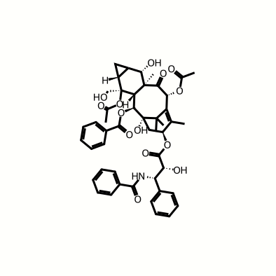 CC(=O)O[C@H]1C(=O)[C@@]2(C)[C@H]([C@H](OC(=O)c3ccccc3)[C@]3(O)C[C@H](OC(=O)[C@H](O)[C@@H](NC(=O)c4ccccc4)c4ccccc4)C(C)=C1C3(C)C)[C@@](CO)(OC(C)=O)[C@@H]1CC1[C@@H]2O